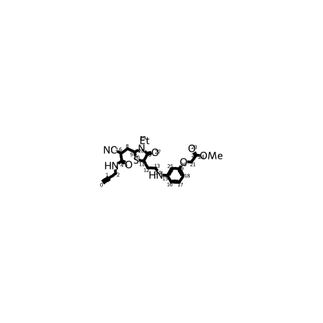 C#CCNC(=O)C(C#N)CC1SC(CCNc2cccc(OCC(=O)OC)c2)C(=O)N1CC